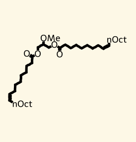 CCCCCCCC/C=C\CCCCCCCC(=O)OCC(COC(=O)CCCCCCC/C=C\CCCCCCCC)OC